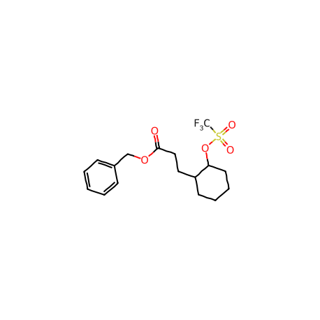 O=C(CCC1CCCCC1OS(=O)(=O)C(F)(F)F)OCc1ccccc1